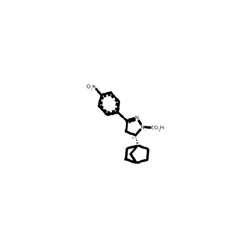 O=C(O)N1N=C(c2ccc([N+](=O)[O-])cc2)C[C@H]1C12CCC(CC1)C2